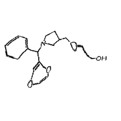 OCCOCC1CCN(C(C2=CC=CCC2)C2=COC=CO2)C1